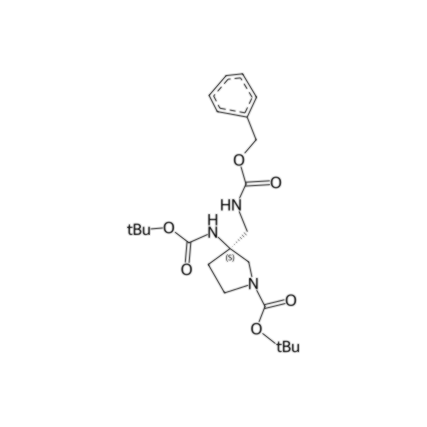 CC(C)(C)OC(=O)N[C@]1(CNC(=O)OCc2ccccc2)CCN(C(=O)OC(C)(C)C)C1